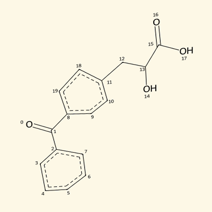 O=C(c1ccccc1)c1ccc(CC(O)C(=O)O)cc1